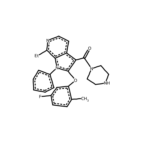 CCc1nccc2c(C(=O)N3CCNCC3)c(Oc3cc(F)ccc3C)n(-c3ccccc3)c12